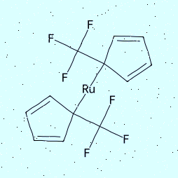 FC(F)(F)[C]1([Ru][C]2(C(F)(F)F)C=CC=C2)C=CC=C1